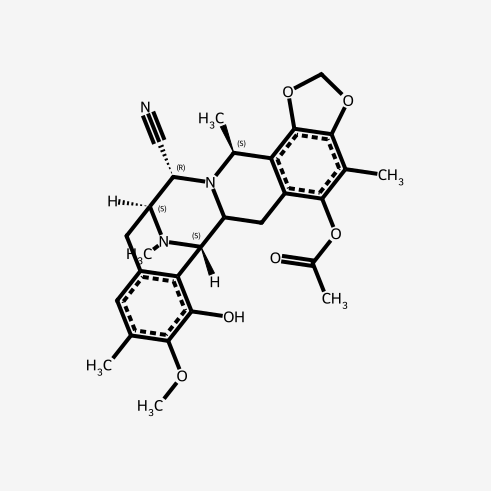 COc1c(C)cc2c(c1O)[C@H]1C3Cc4c(OC(C)=O)c(C)c5c(c4[C@H](C)N3[C@@H](C#N)[C@H](C2)N1C)OCO5